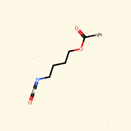 CCCC(=O)OCCCCN=C=O